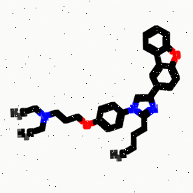 CCCCc1nc(-c2ccc3oc4ccccc4c3c2)cn1-c1ccc(OCCCN(CC)CC)cc1